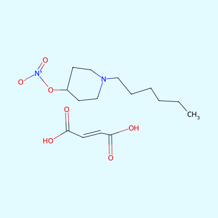 CCCCCCN1CCC(O[N+](=O)[O-])CC1.O=C(O)C=CC(=O)O